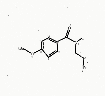 CC(C)CCN(C)C(=O)c1[c]cc(OC(C)(C)C)cc1